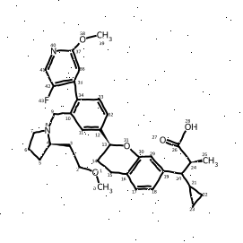 COCC[C@H]1CCCN1Cc1cc([C@@H]2CCc3ccc(C(C4CC4)[C@H](C)C(=O)O)cc3O2)ccc1-c1cc(OC)ncc1F